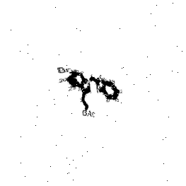 CC(=O)OCCc1cn(Cc2nc3ccccc3s2)c2cc(Br)ccc12